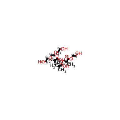 C=C(C)C(=O)O.C=C(C)C(=O)O.C=C(C)C(=O)OCCO.OCCOCCOCCO